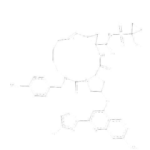 COc1ccc(CN2CCCC/C=C/C3CC3(C(=O)NS(=O)(=O)C3(C)CC3)NC(=O)C3CC(Oc4cc(-c5nc(C(C)C)cs5)nc5cc(OC)ccc45)CN3C2=O)cc1